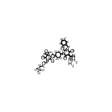 CC1(CN2C(=O)N(COCC[Si](C)(C)C)C(=O)C23COC3)CCC(N2C(=O)C(=C(N)N)C(=O)N(Cc3ccccc3)C2=O)CC1